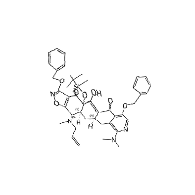 C=CCN(C)[C@@H]1c2onc(OCc3ccccc3)c2C(=O)C2(O[Si](C)(C)C(C)(C)C)C(O)=C3C(=O)c4c(OCc5ccccc5)cnc(N(C)C)c4C[C@H]3C[C@@H]12